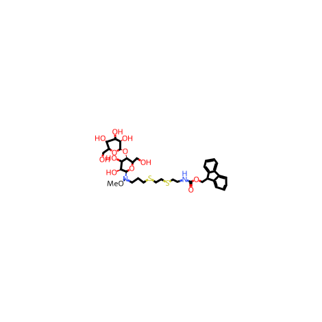 CON(CCCSCCSCCNC(=O)OCC1c2ccccc2-c2ccccc21)[C@@H]1OC(CO)[C@@H](O[C@@H]2OC(CO)[C@H](O)C(O)[C@@H]2O)C(O)[C@@H]1O